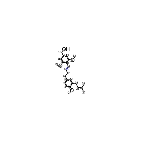 COc1ccc(CC/C=C/c2c(OC)cc(CO)cc2OC)cc1CCC(C)C